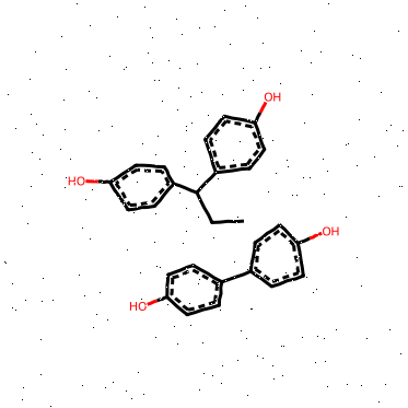 CCC(c1ccc(O)cc1)c1ccc(O)cc1.Oc1ccc(-c2ccc(O)cc2)cc1